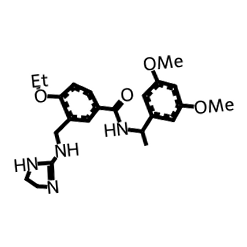 CCOc1ccc(C(=O)NC(C)c2cc(OC)cc(OC)c2)cc1CNC1=NCCN1